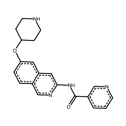 O=C(Nc1cc2cc(OC3CCNCC3)ccc2cn1)c1cccnc1